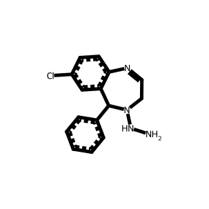 NNN1CC=Nc2ccc(Cl)cc2C1c1ccccc1